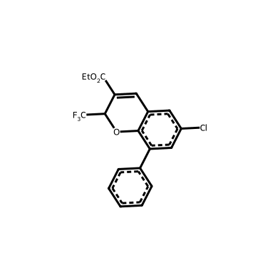 CCOC(=O)C1=Cc2cc(Cl)cc(-c3ccccc3)c2OC1C(F)(F)F